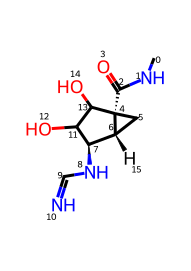 CNC(=O)[C@]12C[C@@H]1[C@@H](NC=N)C(O)C2O